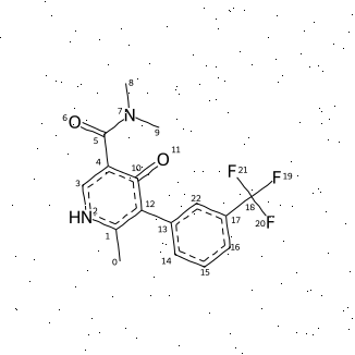 Cc1[nH]cc(C(=O)N(C)C)c(=O)c1-c1cccc(C(F)(F)F)c1